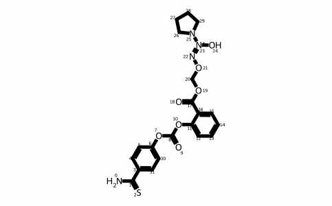 NC(=S)c1ccc(OC(=O)Oc2ccccc2C(=O)OCO/N=[N+](\O)N2CCCC2)cc1